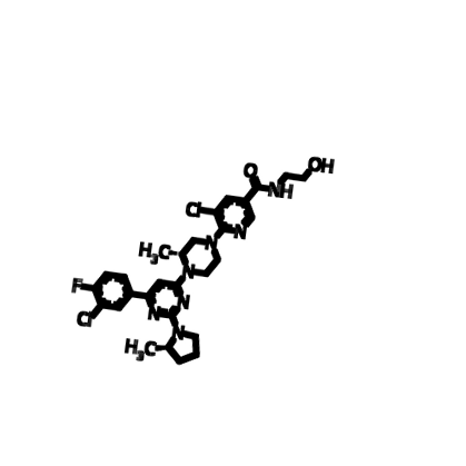 C[C@@H]1CN(c2ncc(C(=O)NCCO)cc2Cl)CCN1c1cc(-c2ccc(F)c(Cl)c2)nc(N2CCC[C@H]2C)n1